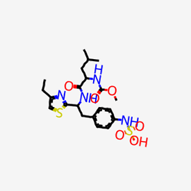 CCc1csc(C(Cc2ccc(NS(=O)(=O)O)cc2)NC(=O)C(CC(C)C)NC(=O)OC)n1